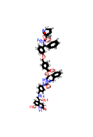 O=C(NC(c1ccccc1)c1cccc(OCc2ccc(C(=O)OCCN(Cc3ccccc3)C(=O)Nc3ccc(CNC[C@H](O)c4ccc(O)c5[nH]c(=O)ccc45)cc3)cc2)c1)O[C@H]1CN2CCC1CC2